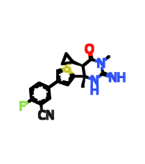 CN1C(=N)N[C@](C)(c2cc(-c3ccc(F)c(C#N)c3)cs2)[C@@H](C2CC2)C1=O